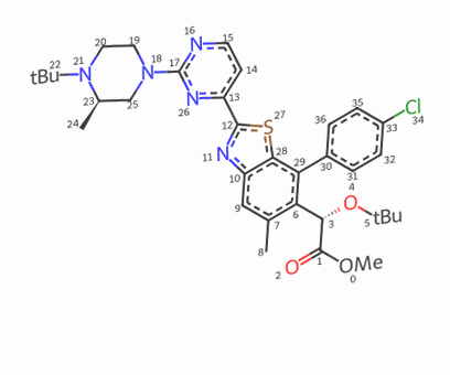 COC(=O)[C@@H](OC(C)(C)C)c1c(C)cc2nc(-c3ccnc(N4CCN(C(C)(C)C)[C@H](C)C4)n3)sc2c1-c1ccc(Cl)cc1